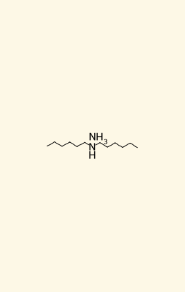 CCCCCCNCCCCCC.N